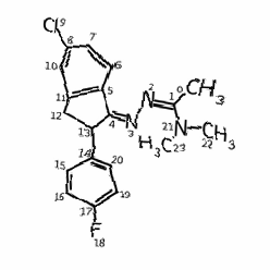 CC(=NN=C1c2ccc(Cl)cc2CC1c1ccc(F)cc1)N(C)C